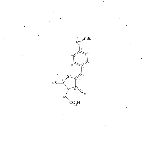 CCCCOc1ccc(/C=C2\SC(=S)N(CC(=O)O)C2=O)cc1